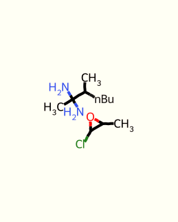 CC1OC1Cl.CCCCC(C)C(C)(N)N